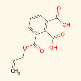 C=CCOC(=O)c1cccc(C(=O)O)c1C(=O)O